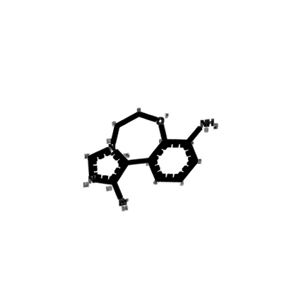 Nc1cccc2c1OCCn1cnc(Br)c1-2